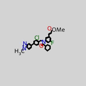 COC(=O)/C=C/c1cc(F)cc(N(Cc2ccc(-c3ccc4c(c3)ncn4C)cc2Cl)C(=O)C2CCCCC2)c1